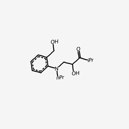 [CH2]CCN(CC(O)C(=O)C(C)C)c1ccccc1CO